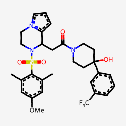 COc1cc(C)c(S(=O)(=O)N2CCn3cccc3C2CC(=O)N2CCC(O)(c3cccc(C(F)(F)F)c3)CC2)c(C)c1